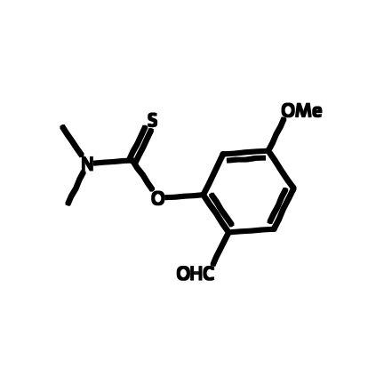 COc1ccc(C=O)c(OC(=S)N(C)C)c1